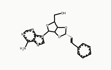 Nc1ncnc2c1ncn2C1OC(CO)C2O[C@H](C=Cc3ccccc3)OC21